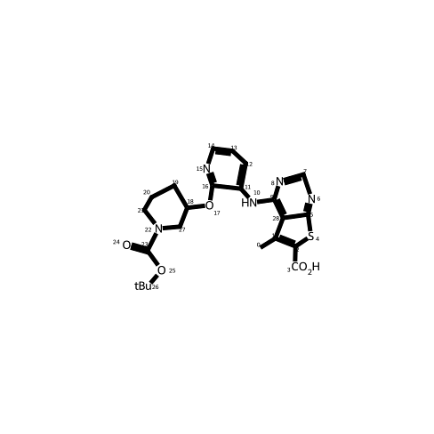 Cc1c(C(=O)O)sc2ncnc(Nc3cccnc3OC3CCCN(C(=O)OC(C)(C)C)C3)c12